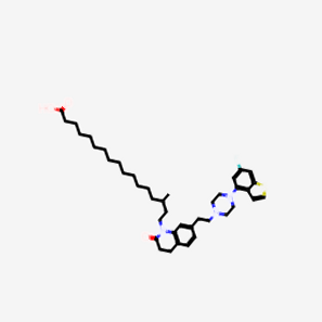 CC(CCCCCCCCCCCCCC(=O)O)CCN1C(=O)CCc2ccc(CCN3CCN(c4cc(F)cc5sccc45)CC3)cc21